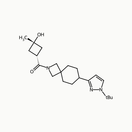 CC(C)(C)n1ccc(C2CCC3(CC2)CN(C(=O)[C@H]2C[C@@](C)(O)C2)C3)n1